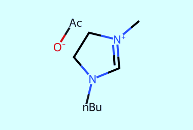 CC(=O)[O-].CCCCN1C=[N+](C)CC1